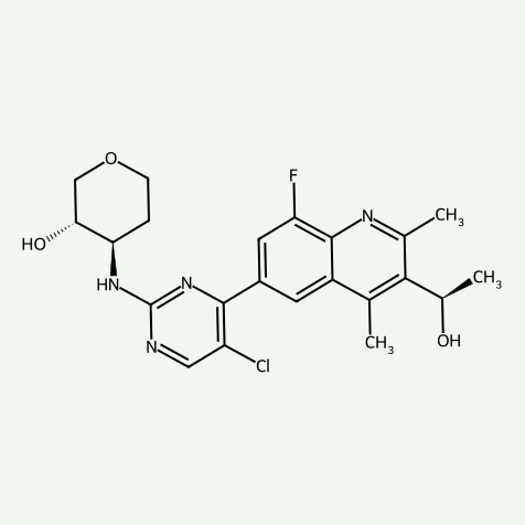 Cc1nc2c(F)cc(-c3nc(N[C@@H]4CCOC[C@H]4O)ncc3Cl)cc2c(C)c1[C@@H](C)O